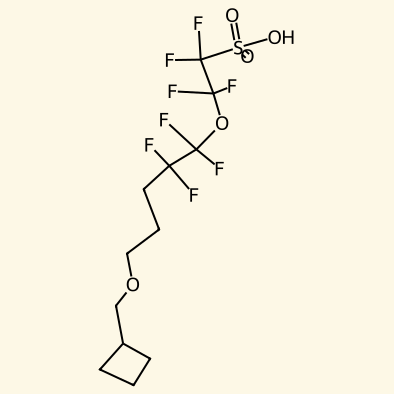 O=S(=O)(O)C(F)(F)C(F)(F)OC(F)(F)C(F)(F)CCCOCC1CCC1